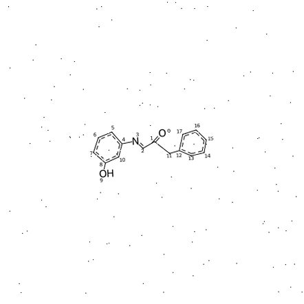 O=C(C=Nc1cccc(O)c1)Cc1ccccc1